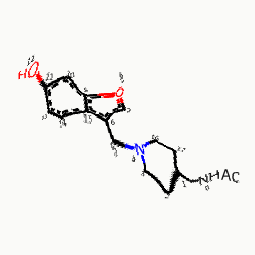 CC(=O)NC1CCN(Cc2coc3cc(O)ccc23)CC1